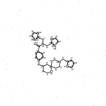 O=C(c1ccc(CN2CCOC3(CCN(Cc4cccs4)CC3)C2)cc1)N(Cc1ncc[nH]1)Cc1ncc[nH]1